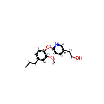 CCCc1ccc(Oc2ccc(CCO)cn2)c(OC)c1